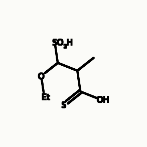 CCOC(C(C)C(O)=S)S(=O)(=O)O